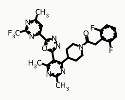 Cc1cc(-c2nnc(-c3c(C)nc(C)nc3C3CCN(C(=O)Cc4c(F)cccc4F)CC3)o2)nc(C(F)(F)F)n1